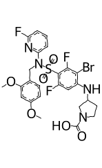 COc1ccc(CN(c2cccc(F)n2)S(=O)(=O)c2c(F)cc(NC3CCN(C(=O)O)C3)c(Br)c2F)c(OC)c1